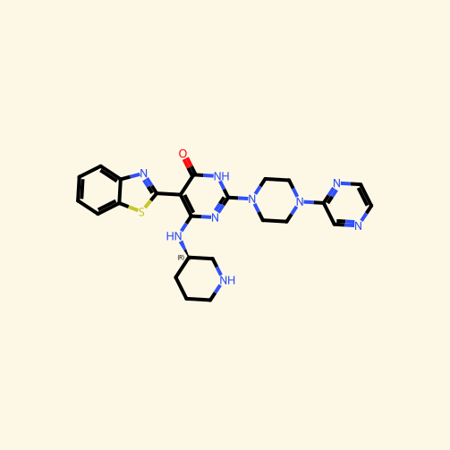 O=c1[nH]c(N2CCN(c3cnccn3)CC2)nc(N[C@@H]2CCCNC2)c1-c1nc2ccccc2s1